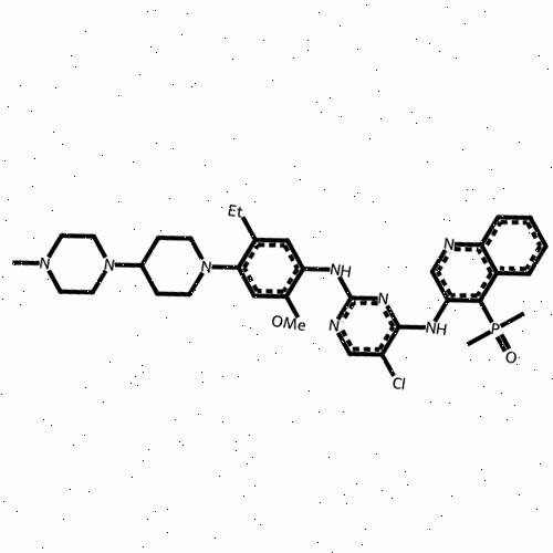 CCc1cc(Nc2ncc(Cl)c(Nc3cnc4ccccc4c3P(C)(C)=O)n2)c(OC)cc1N1CCC(N2CCN(C)CC2)CC1